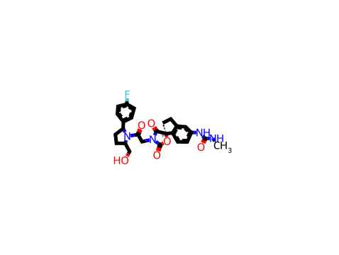 CNC(=O)Nc1ccc2c(c1)CC[C@@]21OC(=O)N(CC(=O)N2C(CO)CCC2c2ccc(F)cc2)C1=O